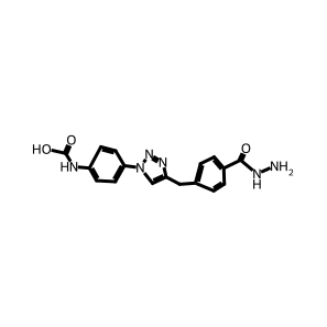 NNC(=O)c1ccc(Cc2cn(-c3ccc(NC(=O)O)cc3)nn2)cc1